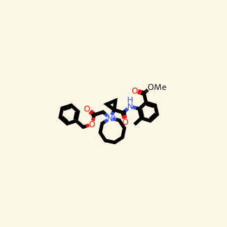 COC(=O)c1cccc(C)c1NC(=O)C1([N+]2(CC(=O)OCc3ccccc3)CCCCCCC2)CC1